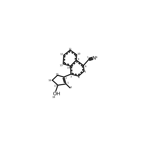 CC1=C(c2ccc(C#N)c3ccccc23)CCC1O